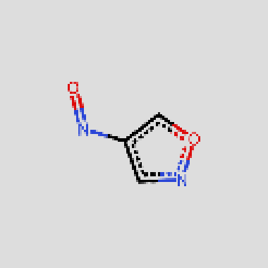 O=Nc1cnoc1